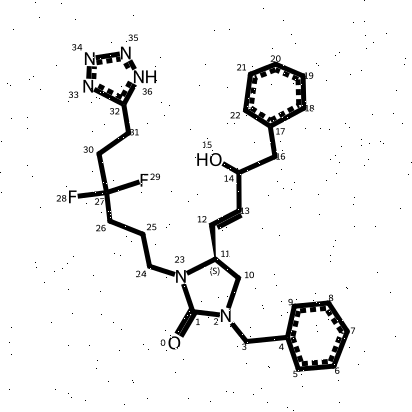 O=C1N(Cc2ccccc2)C[C@H](C=CC(O)Cc2ccccc2)N1CCCC(F)(F)CCc1nnn[nH]1